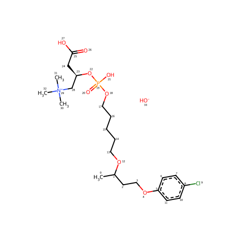 CC(CCOc1ccc(Cl)cc1)OCCCCCOP(=O)(O)O[C@H](CC(=O)O)C[N+](C)(C)C.[OH-]